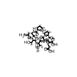 C[C@@H](O)[C@H](NC(=O)[C@H](CC(N)=O)NC(=O)[C@@H]1CCCN1)C(=O)N[C@H](C(=O)N[C@@H](CO)C(=O)N1CCC[C@H]1C(=O)N[C@@H](CCC(=O)O)C(=O)O)[C@@H](C)O